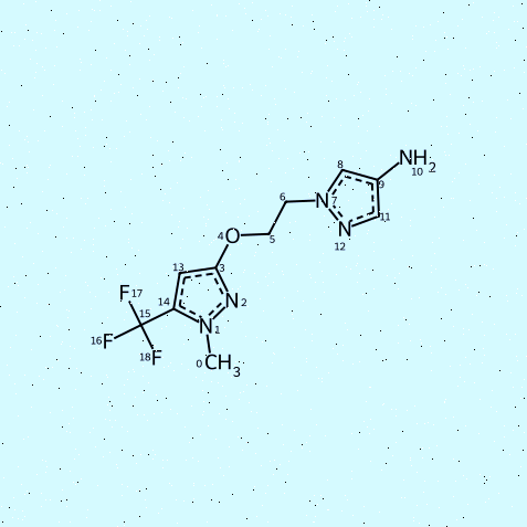 Cn1nc(OCCn2cc(N)cn2)cc1C(F)(F)F